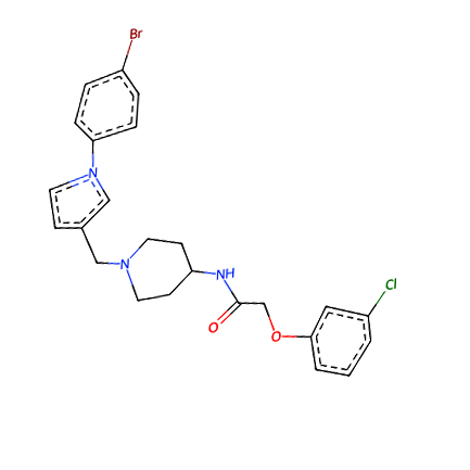 O=C(COc1cccc(Cl)c1)NC1CCN(Cc2ccn(-c3ccc(Br)cc3)c2)CC1